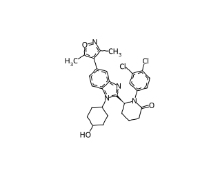 Cc1noc(C)c1-c1ccc2c(c1)nc([C@@H]1CCCC(=O)N1c1ccc(Cl)c(Cl)c1)n2C1CCC(O)CC1